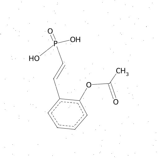 CC(=O)Oc1ccccc1C=CP(=O)(O)O